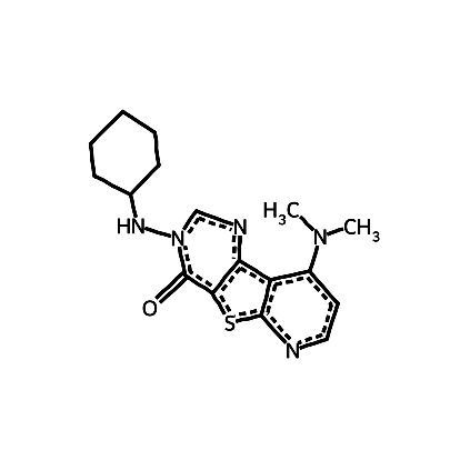 CN(C)c1ccnc2sc3c(=O)n(NC4CCCCC4)cnc3c12